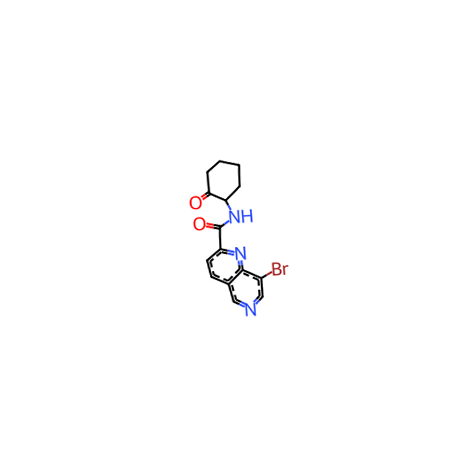 O=C(NC1CCCCC1=O)c1ccc2cncc(Br)c2n1